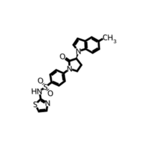 Cc1ccc2c(ccn2[C@H]2CCN(c3ccc(S(=O)(=O)Nc4nccs4)cc3)C2=O)c1